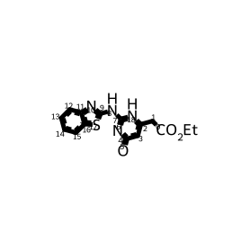 CCOC(=O)Cc1cc(=O)nc(Nc2nc3ccccc3s2)[nH]1